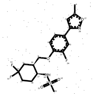 Cc1cc(-c2ccc(OC[C@@H]3CC(F)(F)CC[C@@H]3NS(C)(=O)=O)c(F)c2)no1